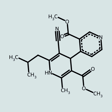 COC(=O)C1=C(C)NC(CC(C)C)=C(C#N)C1c1ccncc1C(=O)OC